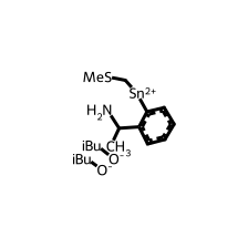 CCC(C)[O-].CCC(C)[O-].CS[CH2][Sn+2][c]1ccccc1C(C)N